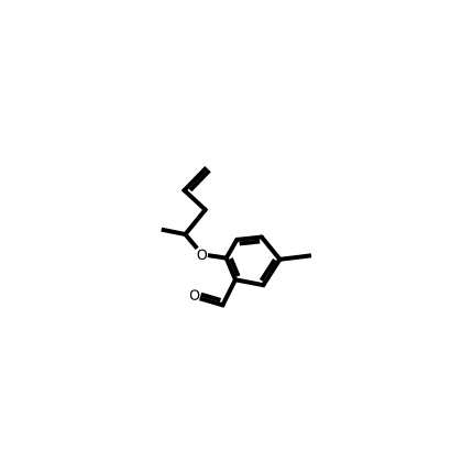 C=CCC(C)Oc1ccc(C)cc1C=O